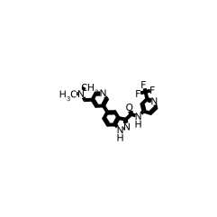 CN(C)Cc1cncc(-c2ccc3[nH]nc(C(=O)Nc4ccnc(C(F)(F)F)c4)c3c2)c1